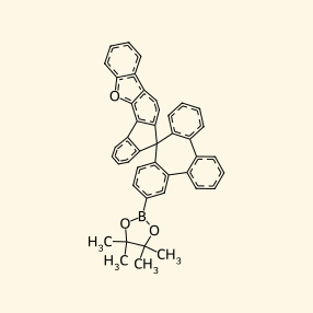 CC1(C)OB(c2ccc3c(c2)-c2ccccc2-c2ccccc2C32c3ccccc3-c3c2ccc2c3oc3ccccc32)OC1(C)C